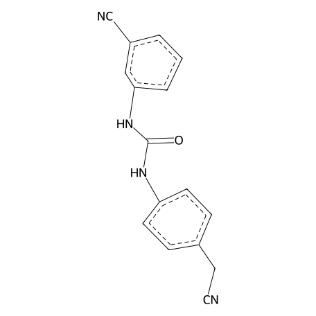 N#CCc1ccc(NC(=O)Nc2cccc(C#N)c2)cc1